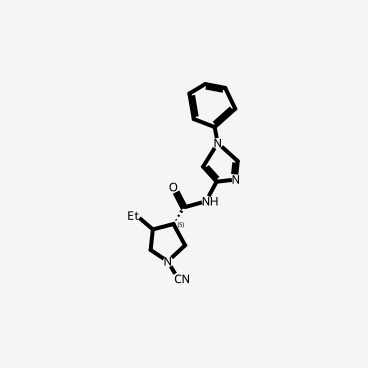 CCC1CN(C#N)C[C@H]1C(=O)Nc1cn(-c2ccccc2)cn1